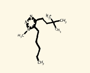 CCCCCc1c(CCC(C)(C)C)nnn1C